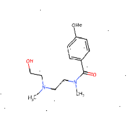 COc1ccc(C(=O)N(C)CCN(C)CCO)cc1